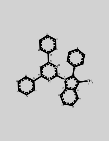 Cc1c(-c2ccccc2)n(-c2nc(-c3ccccc3)cc(-c3ccccc3)n2)c2ccccc12